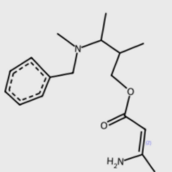 C/C(N)=C/C(=O)OCC(C)C(C)N(C)Cc1ccccc1